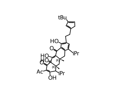 CC(=O)C1=C(O)C(C(C)C)[C@@]2(C)C[C@@]3(C)Cc4c(C(C)C)cc(CCC5=CC(C(C)(C)C)=CC5)c(O)c4C(=O)C3=C(O)[C@@]2(O)C1=O